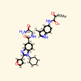 CNC(=O)C(=O)Nc1ccc2[nH]cc(C[C@H](NC(=O)c3ccc4c(c3)nc(-c3ccoc3)n4C3CCCCC3)C(N)=O)c2c1